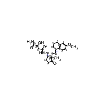 COc1ccc2c(c1)CCC/C2=C\C[C@]1(C)C(=O)CC/C1=N\NC(=O)C[C@@H](O)C(N)=O